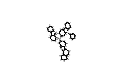 c1ccc(-n2c3ccccc3c3ccc(N(c4ccc5c(c4)oc4c6ccccc6ccc54)c4cccc5c4oc4ccccc45)cc32)cc1